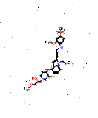 CCCn1c(C#CCNc2ccc(S(C)(=O)=O)cc2OC)cc2c(NC3CCN(C[C@@H](O)COC)CC3F)cccc21